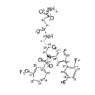 NS(=O)(=O)CCC(=O)NC[C@H]1CN(S(=O)(=O)C2=CC=CCC(C(F)(F)F)=C2)c2cc(-c3cc(F)ccc3F)ccc2O1